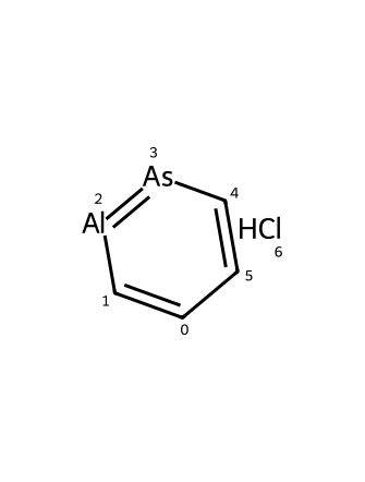 C1=[CH][Al]=[As]C=C1.Cl